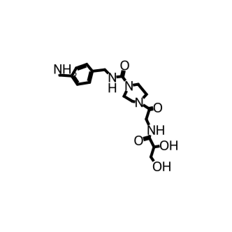 NCc1ccc(CNC(=O)N2CCN(C(=O)CNC(=O)C(O)CO)CC2)cc1